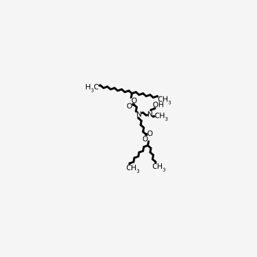 CCCCCCCCCCC(CCCCCCCC)COC(=O)CCN(CCCCCC(=O)OCC(CCCCCC)CCCCCCCC)CCN(CC)CCO